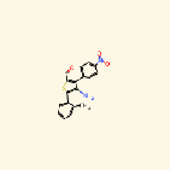 Cc1ccccc1-c1sc(C=O)c(-c2ccc([N+](=O)[O-])cc2)c1N